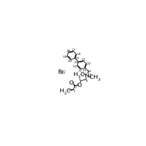 C=CC(=O)OCC[N+](C)(C)Cc1ccc(-c2ccccc2)cc1.[Br-]